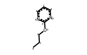 CCCOc1n[c]ccn1